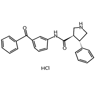 Cl.O=C(c1ccccc1)c1cccc(NC(=O)[C@H]2CNC[C@@H]2c2ccccc2)c1